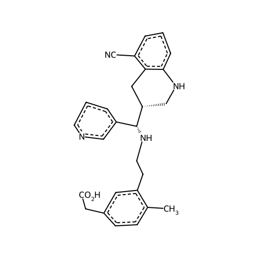 Cc1ccc(CC(=O)O)cc1CCN[C@H](c1cccnc1)[C@H]1CNc2cccc(C#N)c2C1